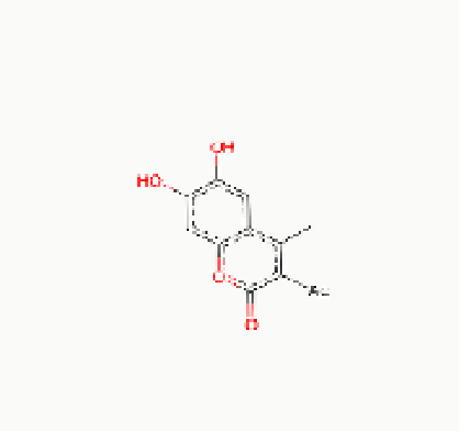 CC(=O)c1c(C)c2cc(O)c(O)cc2oc1=O